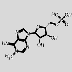 Cn1cnc2c(ncn2C2O[C@H](COP(=O)(O)O)[C@@H](O)[C@H]2O)c1=N